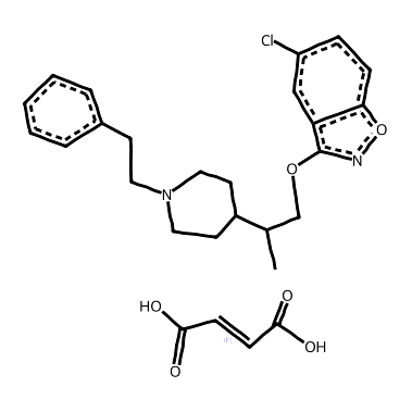 CC(COc1noc2ccc(Cl)cc12)C1CCN(CCc2ccccc2)CC1.O=C(O)/C=C/C(=O)O